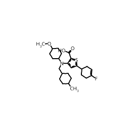 COC1CCC(N(CC2CCC(C)CC2)c2cc(C3CC=C(F)CC3)sc2C(=O)O)CC1